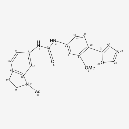 COc1cc(NC(=O)Nc2ccc3c(c2)N(C(C)=O)CC3)ccc1-c1cnco1